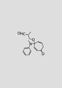 CC(C=O)COC1(N(C)c2ccccc2)C=CCC(=O)C=C1